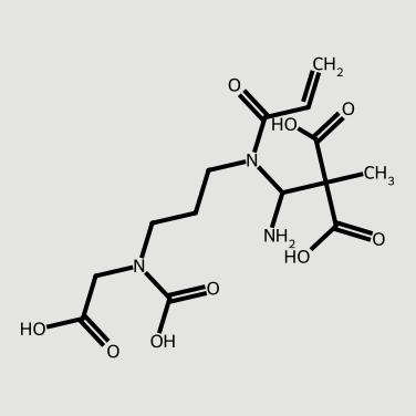 C=CC(=O)N(CCCN(CC(=O)O)C(=O)O)C(N)C(C)(C(=O)O)C(=O)O